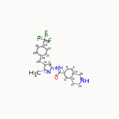 Cc1nc(NC(=O)c2ccc3c(c2)CCNC3)sc1Cc1ccc(C(F)(F)F)cc1